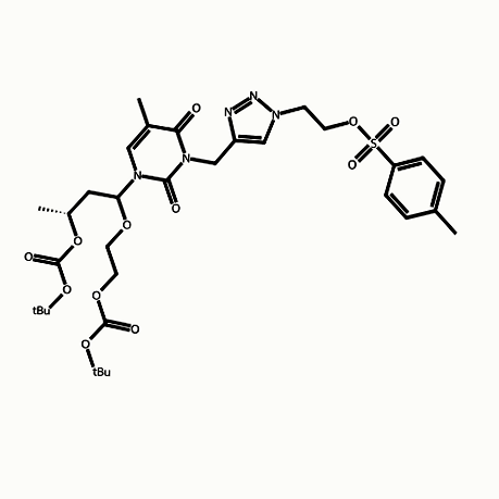 Cc1ccc(S(=O)(=O)OCCn2cc(Cn3c(=O)c(C)cn(C(C[C@@H](C)OC(=O)OC(C)(C)C)OCCOC(=O)OC(C)(C)C)c3=O)nn2)cc1